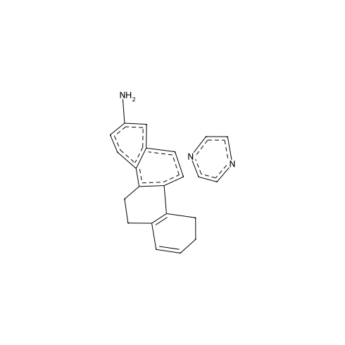 Nc1ccc2c3c(ccc2c1)C1=C(C=CCC1)CC3.c1cnccn1